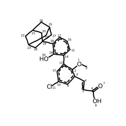 COc1c(C=CC(=O)O)cc(Cl)cc1-c1cccc(C23CC4CC(CC(C4)C2)C3)c1O